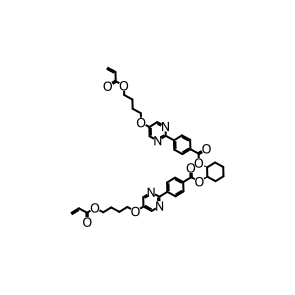 C=CC(=O)OCCCCOc1cnc(-c2ccc(C(=O)O[C@@H]3CCCC[C@H]3OC(=O)c3ccc(-c4ncc(OCCCCOC(=O)C=C)cn4)cc3)cc2)nc1